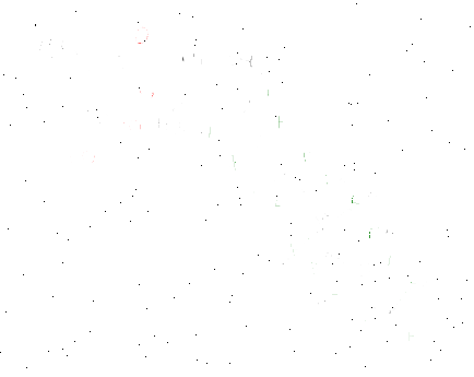 C=C(CC(=O)O)C(=O)OC(C)(C)C(C)C(F)(F)C(F)(F)C(F)(F)C(F)(F)C(F)(F)C(F)(F)C(F)(F)C(F)(F)F